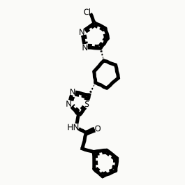 O=C(Cc1ccccc1)Nc1nnc([C@H]2CCC[C@@H](c3ccc(Cl)nn3)C2)s1